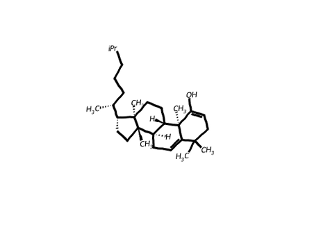 CC(C)CCC[C@@H](C)[C@H]1CC[C@@]2(C)[C@@H]3CC=C4C(C)(C)CC=C(O)[C@]4(C)[C@H]3CC[C@]12C